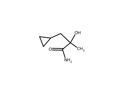 CC(O)(CC1CC1)C(N)=O